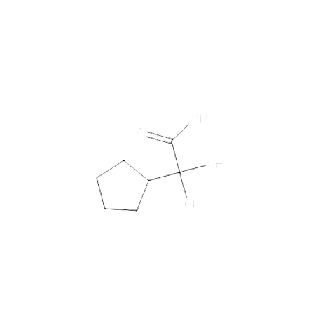 CC(Cl)(C(=O)O)C1CCCC1